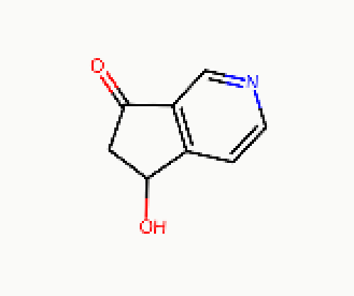 O=C1CC(O)c2ccncc21